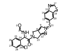 O=CNC(C(=O)N1Cc2cn(Sc3ccc4ncsc4c3)nc2C1)c1ccccc1Cl